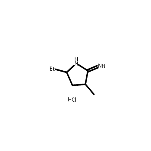 CCC1CC(C)C(=N)N1.Cl